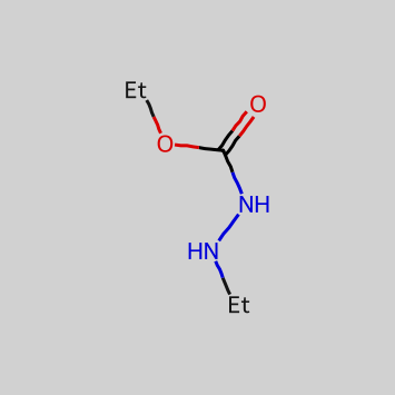 CCNNC(=O)OCC